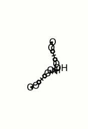 CCN(CC(O)COc1ccc(C(C)(C)c2ccc(OCC3CO3)cc2)cc1)CC(O)COc1ccc(C(C)(C)c2ccc(OCC3CO3)cc2)cc1